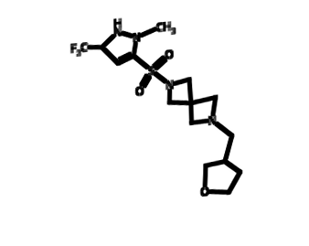 CN1NC(C(F)(F)F)C=C1S(=O)(=O)N1CC2(CN(CC3CCOC3)C2)C1